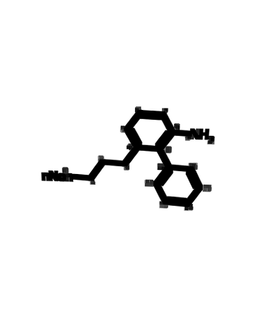 CCCCCCCCCCCCc1cccc(N)c1-c1ccccc1